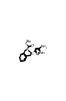 CC(C)(C)OC(=O)N1Cc2ccccc2C[C@H]1c1cc(N)[nH]n1